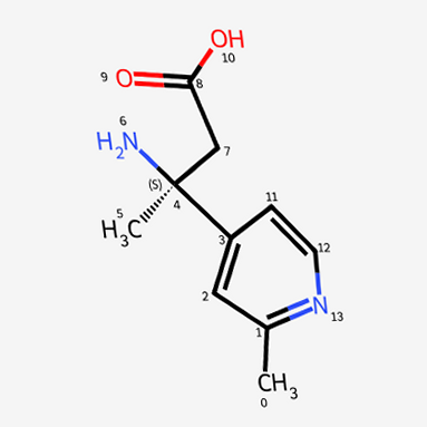 Cc1cc([C@@](C)(N)CC(=O)O)ccn1